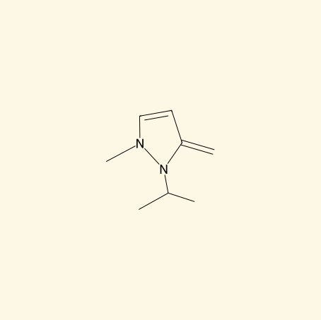 C=C1C=CN(C)N1C(C)C